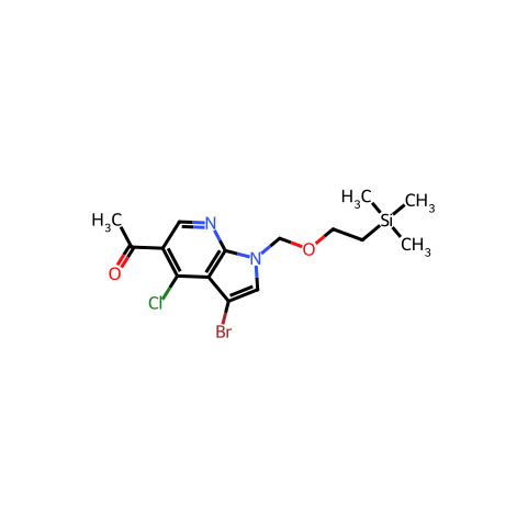 CC(=O)c1cnc2c(c(Br)cn2COCC[Si](C)(C)C)c1Cl